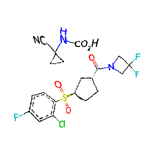 N#CC1(NC(=O)O)CC1.O=C([C@@H]1CC[C@@H](S(=O)(=O)c2ccc(F)cc2Cl)C1)N1CC(F)(F)C1